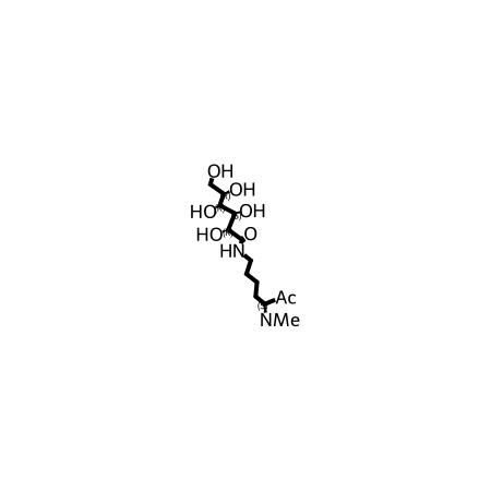 CN[C@@H](CCCCNC(=O)[C@H](O)[C@@H](O)[C@H](O)[C@H](O)CO)C(C)=O